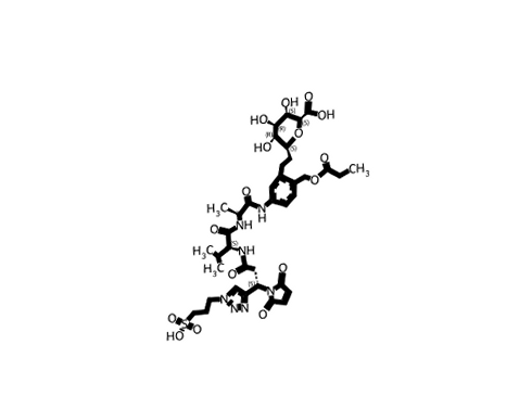 CCC(=O)OCc1ccc(NC(=O)[C@H](C)NC(=O)[C@@H](NC(=O)C[C@@H](c2cn(CCCS(=O)(=O)O)nn2)N2C(=O)C=CC2=O)C(C)C)cc1CC[C@@H]1O[C@H](C(=O)O)[C@@H](O)[C@H](O)[C@H]1O